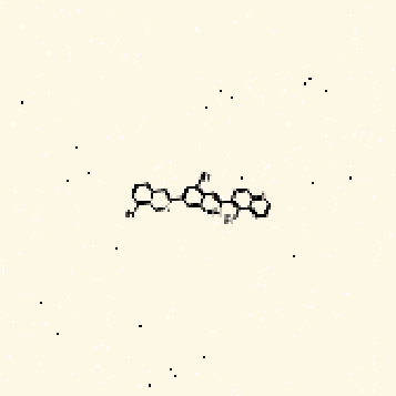 CC(C)c1cccc2cc(-c3cc(C(C)C)c4cc(-c5ccc6ncccc6c5C(C)C)ncc4c3)ncc12